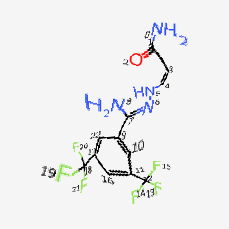 NC(=O)/C=C\N/N=C(\N)c1cc(C(F)(F)F)cc(C(F)(F)F)c1